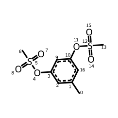 Cc1cc(OS(C)(=O)=O)cc(OS(C)(=O)=O)c1